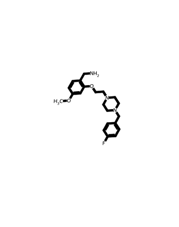 COc1ccc(CN)c(OCCN2CCN(Cc3ccc(F)cc3)CC2)c1